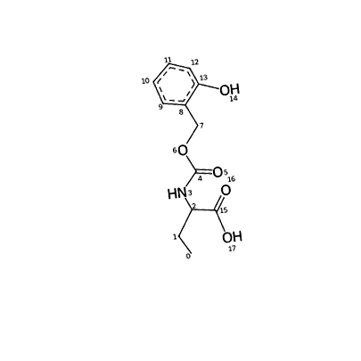 CCC(NC(=O)OCc1ccccc1O)C(=O)O